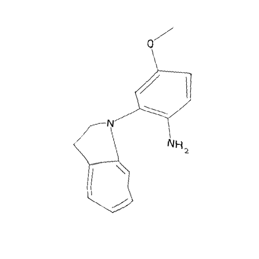 COc1ccc(N)c(N2CCc3ccccc32)c1